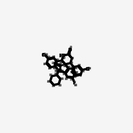 O=C1C[C@@H](c2cccc(Cl)c2)[C@]2(C(=O)Nc3cc(F)ccc32)[C@@H](c2cc(Cl)ccc2OC2CCCCC2)N1